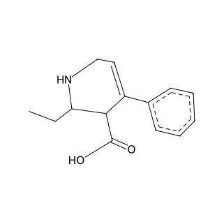 CCC1NCC=C(c2ccccc2)C1C(=O)O